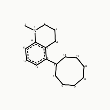 CN1CCCc2c(C3CCCCCCC3)cccc21